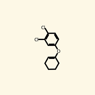 Clc1ccc(OC2=CCCCC2)cc1Cl